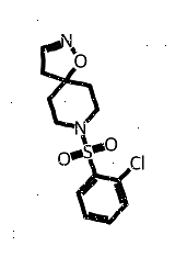 O=S(=O)(c1ccccc1Cl)N1CCC2(CC=NO2)CC1